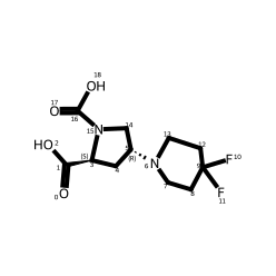 O=C(O)[C@@H]1C[C@@H](N2CCC(F)(F)CC2)CN1C(=O)O